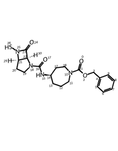 O=C(OCc1ccccc1)N1CCC[C@@H](NC(=O)N2CC[C@@H]3[C@H]2C(=O)N3S)CC1